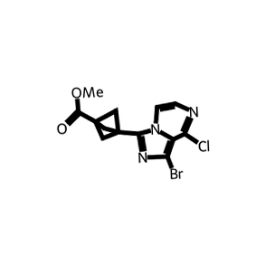 COC(=O)C12CC(c3nc(Br)c4c(Cl)nccn34)(C1)C2